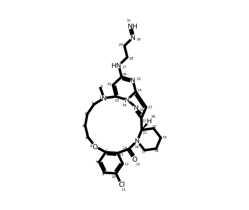 CN1CCCCOc2ccc(Cl)cc2C(=O)N2CCCC[C@H]2c2cc3nc(NCCN=N)cc1n3n2